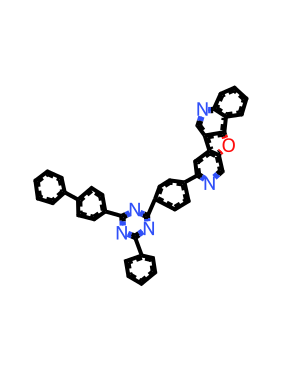 c1ccc(-c2ccc(-c3nc(-c4ccccc4)nc(-c4ccc(-c5cc6c(cn5)oc5c7ccccc7ncc65)cc4)n3)cc2)cc1